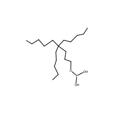 CCCCCC(CCCCC)(CCCCC)CCCOP(O)O